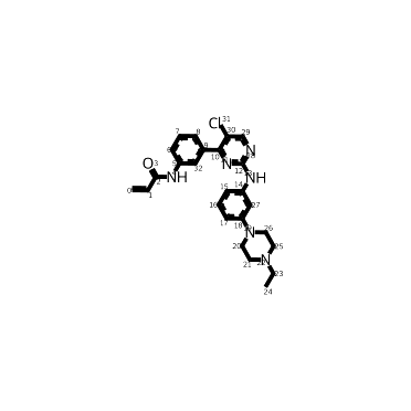 C=CC(=O)Nc1cccc(-c2nc(Nc3cccc(N4CCN(CC)CC4)c3)ncc2Cl)c1